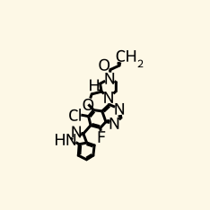 C=CC(=O)N1CCN2c3ncnc4c(F)c(-c5n[nH]c6ccccc56)c(Cl)c(c34)OC[C@@H]2C1